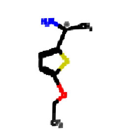 C[C@H](N)c1ccc(OCC(F)(F)F)s1